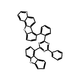 c1ccc(-c2nc(-c3ccccc3-c3cccc4oc5c6cccnc6ccc5c34)nc(-c3cccc4oc5ccccc5c34)n2)cc1